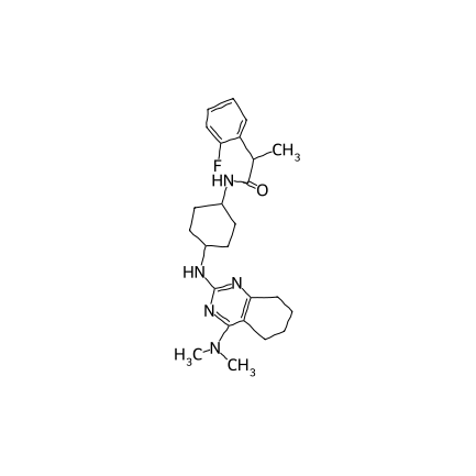 CC(C(=O)NC1CCC(Nc2nc3c(c(N(C)C)n2)CCCC3)CC1)c1ccccc1F